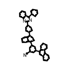 N#Cc1cc(-c2ccc(-c3ccc(-c4nc(-c5ccccc5)c5ccccc5n4)cc3)c3ccccc23)cc(-c2cc3ccccc3c3ccccc23)c1